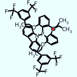 CCOc1cccc(OCC)c1P(c1c(OCC)cccc1OCC)n1c2cc(-c3cc(C(F)(F)F)cc(C(F)(F)F)c3)ccc2c2ccc(-c3cc(C(F)(F)F)cc(C(F)(F)F)c3)cc21